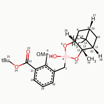 COc1c(C[B-]2(O)O[C@@H]3C[C@@H]4C[C@@H](C4(C)C)[C@]3(C)O2)cccc1C(=O)OC(C)(C)C